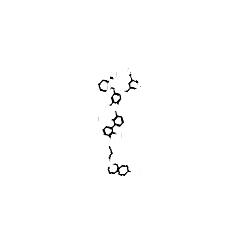 Cc1c(COc2cc(OCc3cncc(C#N)c3)c(CN3CCCC[C@H]3C(=O)O)cc2Cl)cccc1-c1cccc(OCCCN2CCCC3(CCC(O)CC3)C2)c1C